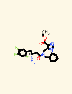 CCOC(=O)c1ncn2c1CN(C(=O)C[C@H](N)Cc1cc(F)c(F)cc1F)Cc1ccccc1-2